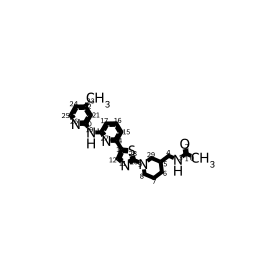 CC(=O)NCC1CCCN(c2ncc(-c3cccc(Nc4cc(C)ccn4)n3)s2)C1